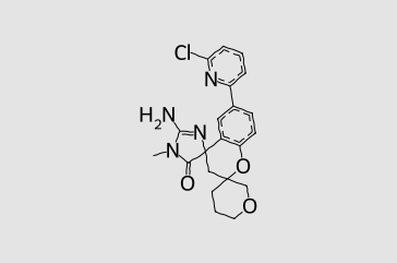 CN1C(=O)C2(CC3(CCCOC3)Oc3ccc(-c4cccc(Cl)n4)cc32)N=C1N